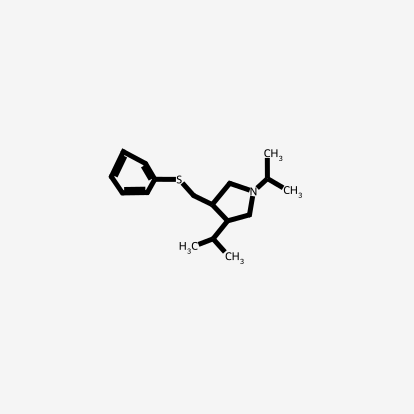 CC(C)C1CN(C(C)C)CC1CSc1ccccc1